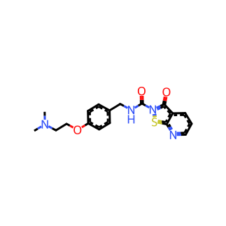 CN(C)CCOc1ccc(CNC(=O)n2sc3ncccc3c2=O)cc1